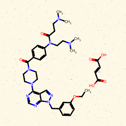 CCOc1cccc(Cn2ncc3c(N4CCN(C(=O)c5ccc(N(CCN(C)C)C(=O)CCN(C)C)cc5)CC4)ncnc32)c1.O=C(O)/C=C/C(=O)O